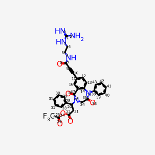 N=C(N)NCCNC(=O)C#Cc1ccc2c(c1)C(=O)N(C(CC(=O)OC(=O)C(F)(F)F)c1ccccc1)CC(=O)N2c1ccccc1